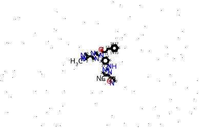 Cn1cc(-c2cnc(N(C(=O)CCc3ccccc3)[C@H]3CC[C@H](Nc4ncc(C#N)c(-c5ccno5)n4)CC3)cn2)cn1